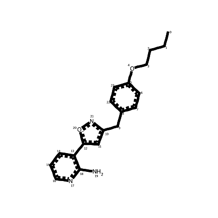 CCCCOc1ccc(Cc2cc(-c3cccnc3N)on2)cc1